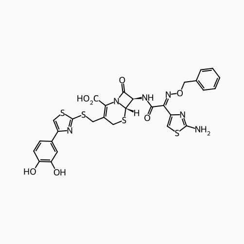 Nc1nc(C(=NOCc2ccccc2)C(=O)N[C@@H]2C(=O)N3C(C(=O)O)=C(CSc4nc(-c5ccc(O)c(O)c5)cs4)CS[C@@H]23)cs1